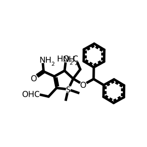 CS1(C)C(CC=O)=C(C(N)=O)C(N)C1(CC(=O)O)OC(c1ccccc1)c1ccccc1